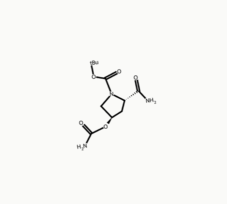 CC(C)(C)OC(=O)N1C[C@H](OC(N)=O)C[C@H]1C(N)=O